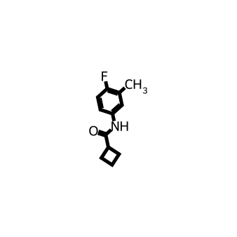 Cc1cc(NC(=O)C2CCC2)ccc1F